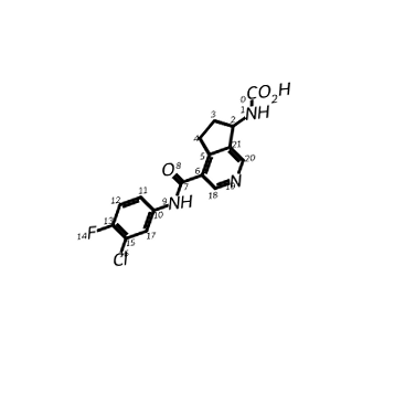 O=C(O)NC1CCc2c(C(=O)Nc3ccc(F)c(Cl)c3)cncc21